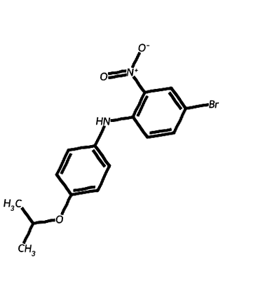 CC(C)Oc1ccc(Nc2ccc(Br)cc2[N+](=O)[O-])cc1